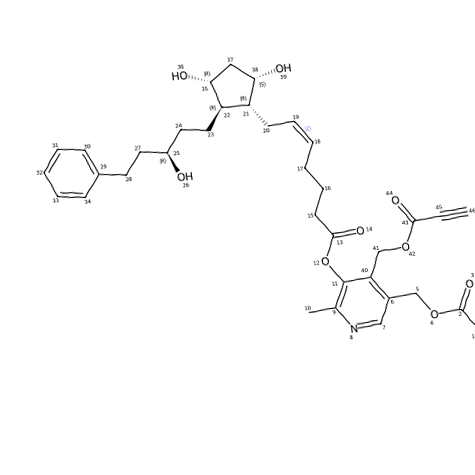 C#CC(=O)OCc1cnc(C)c(OC(=O)CCC/C=C\C[C@@H]2[C@@H](CC[C@@H](O)CCc3ccccc3)[C@H](O)C[C@@H]2O)c1COC(=O)C#C